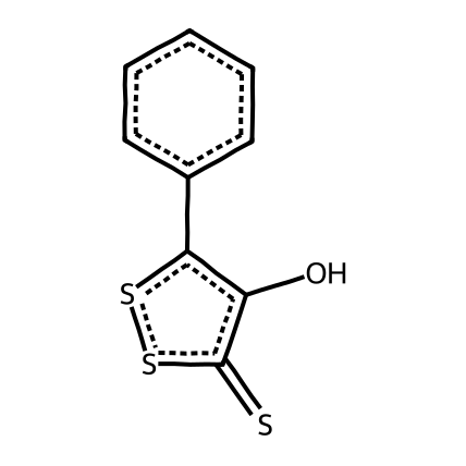 Oc1c(-c2ccccc2)ssc1=S